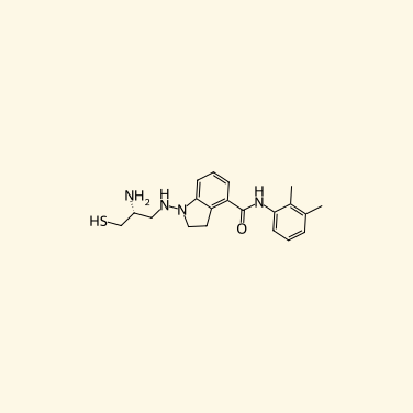 Cc1cccc(NC(=O)c2cccc3c2CCN3NC[C@@H](N)CS)c1C